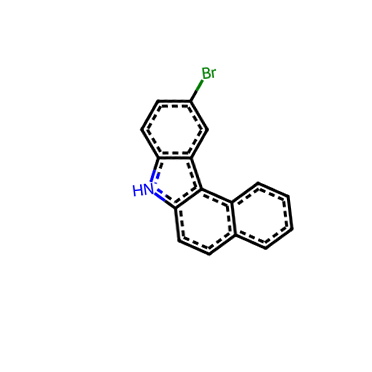 Brc1ccc2[nH]c3ccc4ccccc4c3c2c1